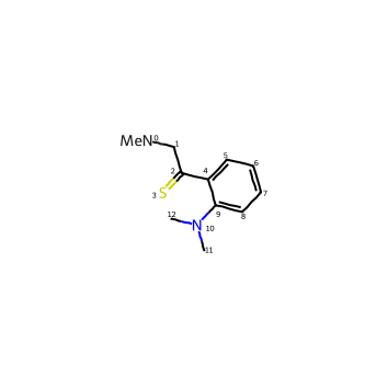 CNCC(=S)c1ccccc1N(C)C